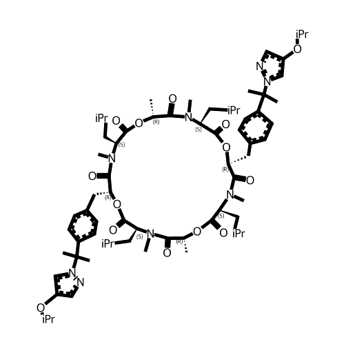 CC(C)C[C@H]1C(=O)O[C@H](Cc2ccc(C(C)(C)n3cc(OC(C)C)cn3)cc2)C(=O)N(C)[C@@H](CC(C)C)C(=O)O[C@H](C)C(=O)N(C)[C@@H](CC(C)C)C(=O)O[C@H](Cc2ccc(C(C)(C)n3cc(OC(C)C)cn3)cc2)C(=O)N(C)[C@@H](CC(C)C)C(=O)O[C@H](C)C(=O)N1C